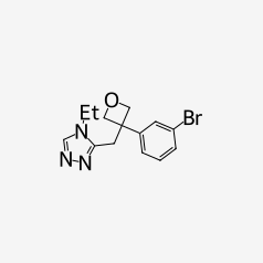 CCn1cnnc1CC1(c2cccc(Br)c2)COC1